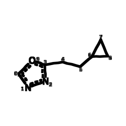 [c]1nnc(CCC2CC2)o1